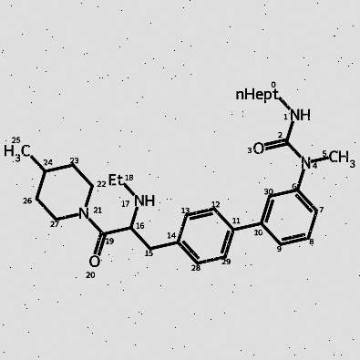 CCCCCCCNC(=O)N(C)c1cccc(-c2ccc(CC(NCC)C(=O)N3CCC(C)CC3)cc2)c1